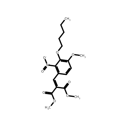 CCCCCOc1c(OC)ccc(C=C(C(=O)OC)C(=O)OC)c1[N+](=O)[O-]